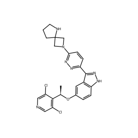 C[C@@H](Oc1ccc2[nH]nc(-c3ccc(N4CC5(CCCN5)C4)nn3)c2c1)c1c(Cl)cncc1Cl